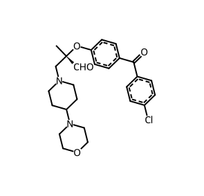 C[C@@](C=O)(CN1CCC(N2CCOCC2)CC1)Oc1ccc(C(=O)c2ccc(Cl)cc2)cc1